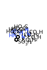 NCCNc1cccc2c(S(=O)(=O)O)cccc12.O=C(O)CN(CCN(CC(=O)O)CC(=O)O)CC(=O)O.O=C(O)CN(CCN(CC(=O)O)CC(=O)O)CC(=O)O